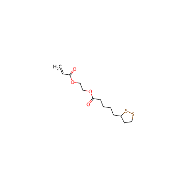 C=CC(=O)OCCOC(=O)CCCCC1CCSS1